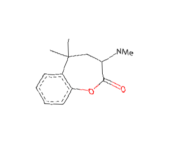 CNC1CC(C)(C)c2ccccc2OC1=O